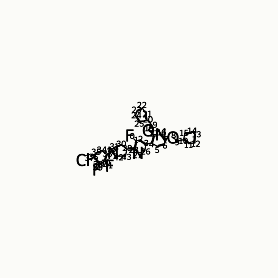 Fc1cc(-c2ccc(OCc3ccccc3)nc2OCc2ccccc2)cnc1C1CCN(c2ccc(Cl)c(F)c2F)CC1